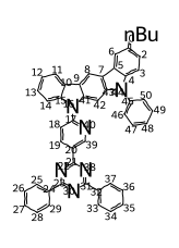 CCCCc1ccc2c(c1)c1cc3c4ccccc4n(-c4ccc(-c5nc(-c6ccccc6)nc(-c6ccccc6)n5)cn4)c3cc1n2-c1ccccc1